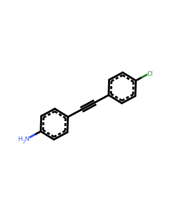 Nc1ccc(C#Cc2ccc(Cl)cc2)cc1